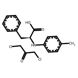 Cc1ccc(N[C@@H](Cc2ccccc2)C(=O)O)cc1.O=C(CCl)CCl